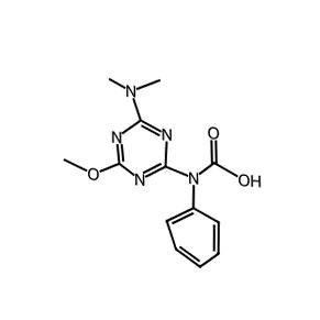 COc1nc(N(C)C)nc(N(C(=O)O)c2ccccc2)n1